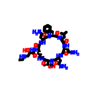 CCNC[C@H](O)C(=O)N[C@H]1CCNC(=O)[C@H]([C@@H](C)O)NC(=O)[C@H](CCN)NC(=O)[C@H](CCN)NC(=O)[C@H](CC(C)C)NC(=O)[C@@H](Cc2ccccc2)NC(=O)[C@H](CCN)NC1=O